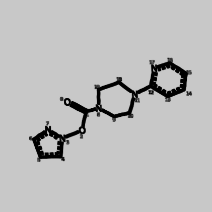 O=C(On1cccn1)N1CCN(c2ccccn2)CC1